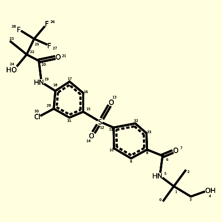 CC(C)(CO)NC(=O)c1ccc(S(=O)(=O)c2ccc(NC(=O)C(C)(O)C(F)(F)F)c(Cl)c2)cc1